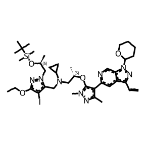 C=Cc1nn(C2CCCCO2)c2cnc(-c3c(C)nn(C)c3O[C@@H](C)CN(Cc3c(I)c(OCC)nn3C[C@H](C)O[Si](C)(C)C(C)(C)C)C3CC3)cc12